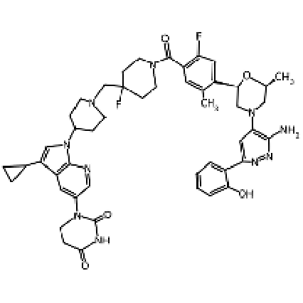 Cc1cc(C(=O)N2CCC(F)(CN3CCC(n4cc(C5CC5)c5cc(N6CCC(=O)NC6=O)cnc54)CC3)CC2)c(F)cc1[C@@H]1CN(c2cc(-c3ccccc3O)nnc2N)C[C@H](C)O1